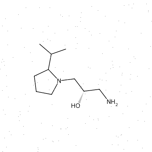 CC(C)C1CCCN1C[C@@H](O)CN